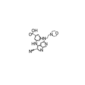 N#Cc1cnc2cnc(NCCN3CCOCC3)cc2c1Nc1cccc(C(=O)O)c1